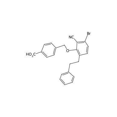 N#Cc1c(Br)ccc(CCc2ccccc2)c1OCc1ccc(C(=O)O)cc1